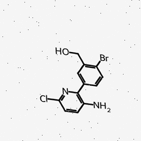 Nc1ccc(Cl)nc1-c1ccc(Br)c(CO)c1